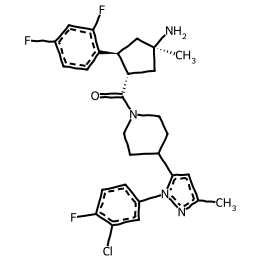 Cc1cc(C2CCN(C(=O)[C@H]3C[C@](C)(N)C[C@@H]3c3ccc(F)cc3F)CC2)n(-c2ccc(F)c(Cl)c2)n1